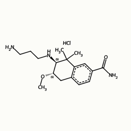 CO[C@H]1Cc2ccc(C(N)=O)cc2C(C)(C)[C@@H]1NCCCN.Cl